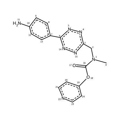 CN(Cc1nnc(-c2ccc(N)cc2)nn1)C(=O)Oc1ccncc1